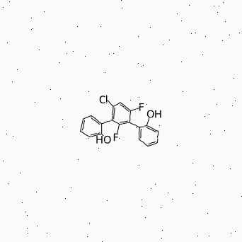 Oc1ccccc1-c1c(F)cc(Cl)c(-c2ccccc2O)c1F